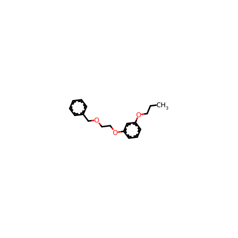 CCCOc1cccc(OCCOCc2ccccc2)c1